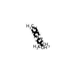 CN1CCC2(CC1)CCN(c1ccc(C(C)(C)O)cn1)CC2